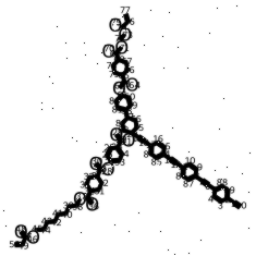 C#Cc1ccc(C#Cc2ccc(C#Cc3ccc(C#CC4(OC(=O)c5ccc(OC(=O)C6CCC(C(=O)OCCCCCCCCOC(=O)C=C)CC6)cc5)CCC(c5ccc(OC(=O)C6CCC(C(=O)OCOC(=O)C=C)CC6)cc5)CC4)cc3)cc2)cc1